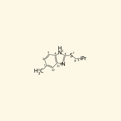 Cc1ccc2[nH]c(SCC(C)C)nc2c1